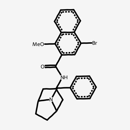 COc1c(C(=O)NC2CC3CCC(C2)N3Cc2ccccc2)cc(Br)c2ccccc12